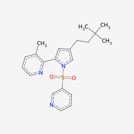 Cc1cccnc1-c1cc(CCC(C)(C)C)cn1S(=O)(=O)c1cccnc1